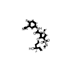 C=C[C@@](C)(O)CCOc1c(S(=O)(=O)N=C)cn(C)c1C(=O)Nc1ccc(F)c(C#N)c1